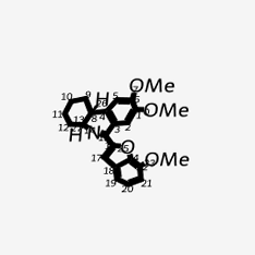 COc1cc2c(cc1OC)[C@H]1CCCC[C@H]1N=C2c1cc2cccc(OC)c2o1